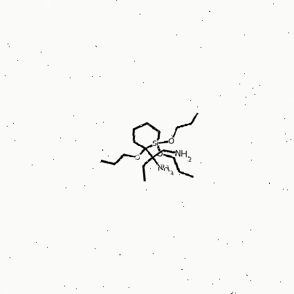 CCCOC1(C(N)(CC)CN)CCCC[Si]1(OCCC)OCCC